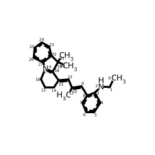 CCNc1ccccc1/C=C(C)/C=C1\CCC[N+]2=C1C(C)(C)c1ccccc12